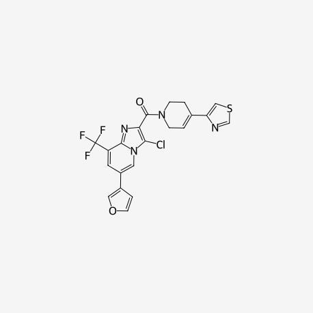 O=C(c1nc2c(C(F)(F)F)cc(-c3ccoc3)cn2c1Cl)N1CC=C(c2cscn2)CC1